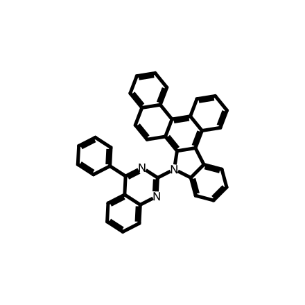 c1ccc(-c2nc(-n3c4ccccc4c4c5ccccc5c5c6ccccc6ccc5c43)nc3ccccc23)cc1